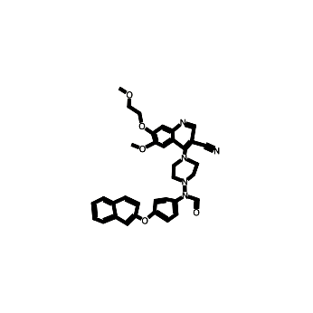 COCCOc1cc2ncc(C#N)c(N3CCN(N(C=O)c4ccc(Oc5ccc6ccccc6c5)cc4)CC3)c2cc1OC